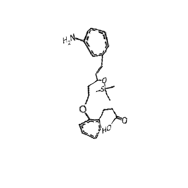 C[Si](C)(C)OC(/C=C/c1cccc(N)c1)CCOc1ccccc1CCC(=O)O